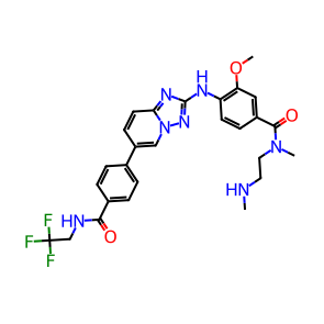 CNCCN(C)C(=O)c1ccc(Nc2nc3ccc(-c4ccc(C(=O)NCC(F)(F)F)cc4)cn3n2)c(OC)c1